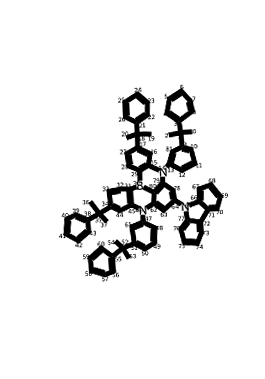 CC(C)(c1ccccc1)c1cccc(N2c3cc(C(C)(C)c4ccccc4)ccc3B3c4ccc(C(C)(C)c5ccccc5)cc4N(c4cccc(C(C)(C)c5ccccc5)c4)c4cc(-n5c6ccccc6c6ccccc65)cc2c43)c1